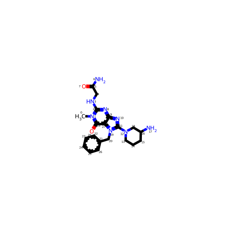 Cn1c(NCC(N)=O)nc2nc(N3CCCC(N)C3)n(Cc3ccccc3)c2c1=O